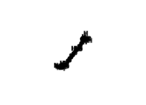 [N-]=[N+]=Nc1ccc(C(=O)NCCOCCOCCOCCNC(=O)CCCC[C@@H]2SC[C@@H]3NC(=O)N[C@@H]32)c(F)c1